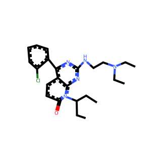 CCC(CC)n1c(=O)ccc2c(-c3ccccc3Cl)nc(NCCN(CC)CC)nc21